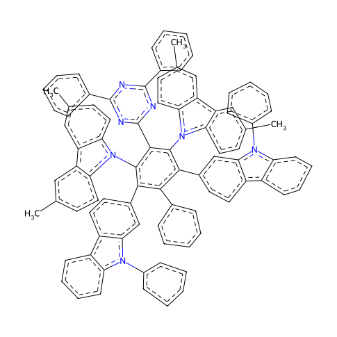 Cc1ccc2c(c1)c1cc(C)ccc1n2-c1c(-c2ccc3c4ccccc4n(-c4ccccc4)c3c2)c(-c2ccccc2)c(-c2ccc3c4ccccc4n(-c4ccccc4)c3c2)c(-n2c3ccc(C)cc3c3cc(C)ccc32)c1-c1nc(-c2ccccc2)nc(-c2ccccc2)n1